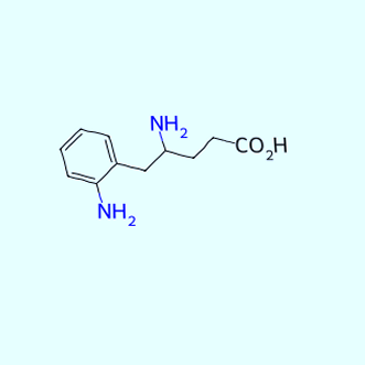 Nc1ccccc1CC(N)CCC(=O)O